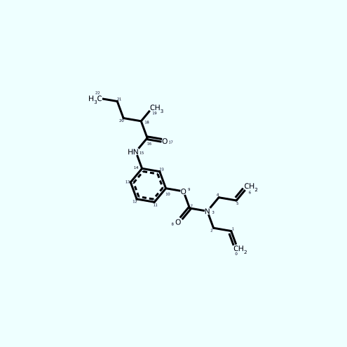 C=CCN(CC=C)C(=O)Oc1cccc(NC(=O)C(C)CCC)c1